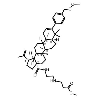 C=C(C)[C@@H]1CC[C@]2(C(=O)NCCNCCC(=O)OC)CC[C@]3(C)[C@H](CC[C@@H]4[C@@]5(C)CC=C(c6ccc(COOC)cc6)C(C)(C)[C@@H]5CC[C@]43C)[C@@H]12